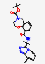 Cc1cccn2c(C(C)(C)NC(=O)c3cccc4c3OCCN(C(=O)OC(C)(C)C)C4)nnc12